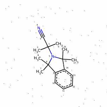 CC(C)(C#N)N1C(C)(C)c2ccccc2C1(C)C